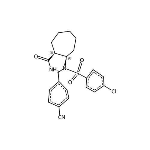 N#Cc1ccc(CN([C@@H]2CCCCC[C@@H]2C(N)=O)S(=O)(=O)c2ccc(Cl)cc2)cc1